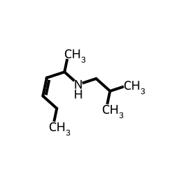 CC/C=C\C(C)NCC(C)C